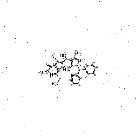 CCc1nn(C)c(=O)c2c(Br)c(C(O)c3c(C)nn(C(c4ccccc4)c4ccccc4)c3C)sc12